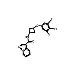 O=C(NC1CC(Oc2cc(F)c(Cl)c(F)c2)C1)c1cnn2ccccc12